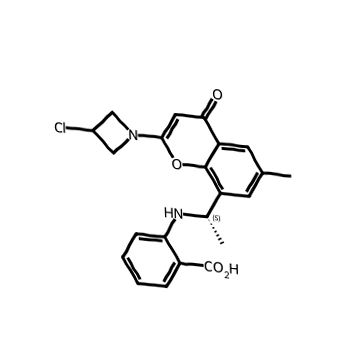 Cc1cc([C@H](C)Nc2ccccc2C(=O)O)c2oc(N3CC(Cl)C3)cc(=O)c2c1